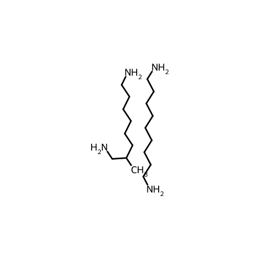 CC(CN)CCCCCCN.NCCCCCCCCCN